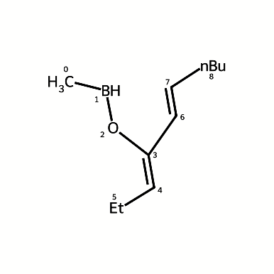 CBOC(=C\CC)/C=C/CCCC